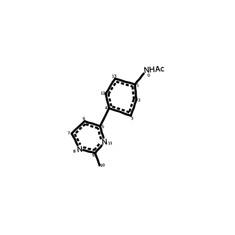 CC(=O)Nc1ccc(-c2ccnc(C)n2)cc1